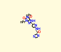 CCCn1c(=O)c2[nH]c(-c3ccc(NCC(=O)c4cnccn4)nc3)nc2n(CCC)c1=O